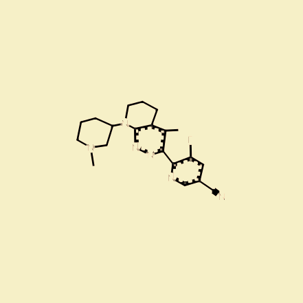 Cc1c(-c2ncc(C#N)cc2F)nnc2c1CCCN2C1CCCN(C)C1